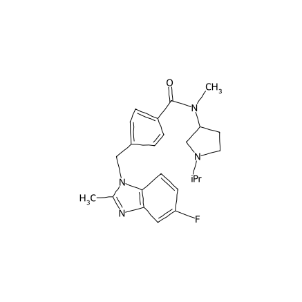 Cc1nc2cc(F)ccc2n1Cc1ccc(C(=O)N(C)C2CCN(C(C)C)C2)cc1